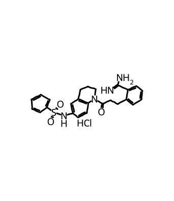 Cl.N=C(N)c1ccccc1CCC(=O)N1CCCc2cc(NS(=O)(=O)c3ccccc3)ccc21